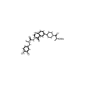 CO[C@@H](C)C(=O)N1CCC(c2ccc3ncn(CC(=O)N(C)Cc4ccc(Cl)c(Cl)c4)c(=O)c3c2)CC1